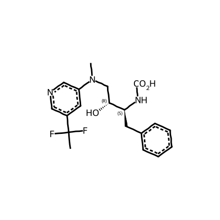 CN(C[C@@H](O)[C@H](Cc1ccccc1)NC(=O)O)c1cncc(C(C)(F)F)c1